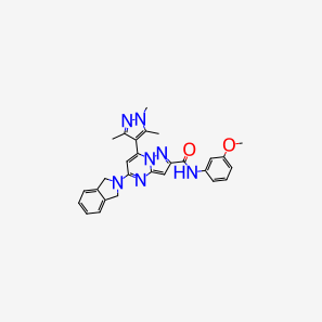 COc1cccc(NC(=O)c2cc3nc(N4Cc5ccccc5C4)cc(-c4c(C)nn(C)c4C)n3n2)c1